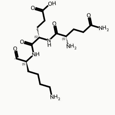 NCCCC[C@@H]([C]=O)NC(=O)[C@H](CCC(=O)O)NC(=O)[C@@H](N)CCC(N)=O